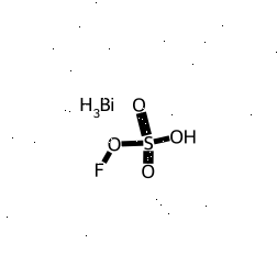 O=S(=O)(O)OF.[BiH3]